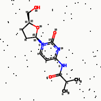 CC(C)C(=O)Nc1ccn([C@H]2CC[C@@H](CO)O2)c(=O)n1